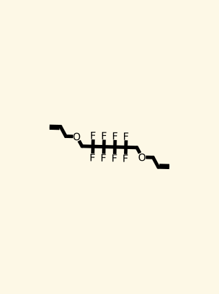 C=CCOCC(F)(F)C(F)(F)C(F)(F)C(F)(F)COCC=C